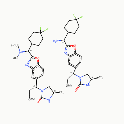 COC[C@H](c1ccc2oc([C@@H](N)C3CCC(F)(F)CC3)nc2c1)N1C[C@@H](C(F)(F)F)NC1=O.COC[C@H](c1ccc2oc([C@H](C3CCC(F)(F)CC3)N(C(=O)O)C(C)(C)C)nc2c1)N1C[C@@H](C(F)(F)F)NC1=O